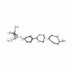 CCC[C@H]1CC[C@H](C2CCC(c3ccc(OC[C@@H]4[C@@H](C)C4(F)F)cc3)CC2)CC1